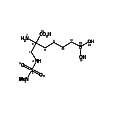 CNS(=O)(=O)NCC(N)(CCCCB(O)O)C(=O)O